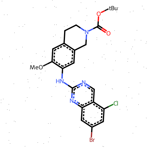 COc1cc2c(cc1Nc1ncc3c(Cl)cc(Br)cc3n1)CN(C(=O)OC(C)(C)C)CC2